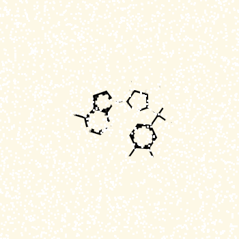 CC(O)(c1ccc(Cl)c(F)c1)[C@H]1O[C@@H](n2ccc3c(N)ncnc32)[C@H](O)[C@@H]1O